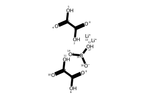 O=C(O)C(=O)O.O=C(O)C(=O)O.[Li+].[Li+].[O-]B([O-])O